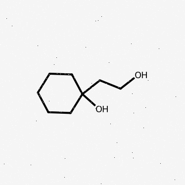 OCCC1(O)CCCCC1